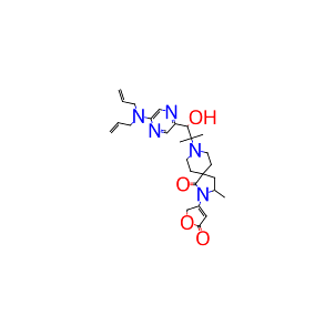 C=CCN(CC=C)c1cnc(C(O)C(C)(C)N2CCC3(CC2)CC(C)N(C2=CC(=O)OC2)C3=O)cn1